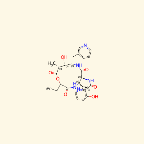 CC(C)CC1OC(=O)[C@H](C)[C@H](O)[C@H](Cc2cccnc2)NC(=O)[C@@H](NC(=O)c2ncccc2O)[C@@H](C)NC1=O